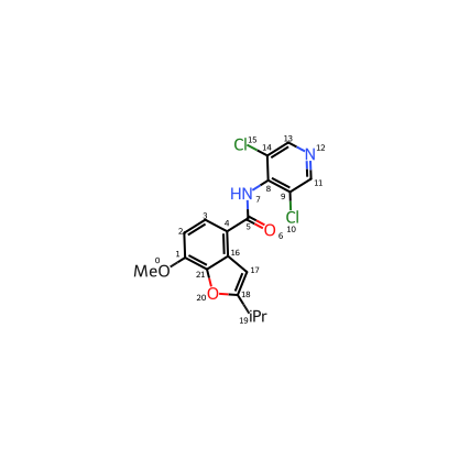 COc1ccc(C(=O)Nc2c(Cl)cncc2Cl)c2cc(C(C)C)oc12